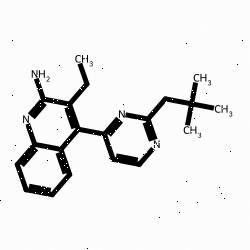 CCc1c(N)nc2ccccc2c1-c1ccnc(CC(C)(C)C)n1